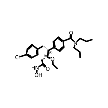 CCCN(CCC)C(=O)c1ccc([C@@H](Cc2ccc(Cl)cc2)[C@@H](CC(=O)NO)OCC)cc1